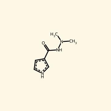 CN(C)NC(=O)c1cc[nH]c1